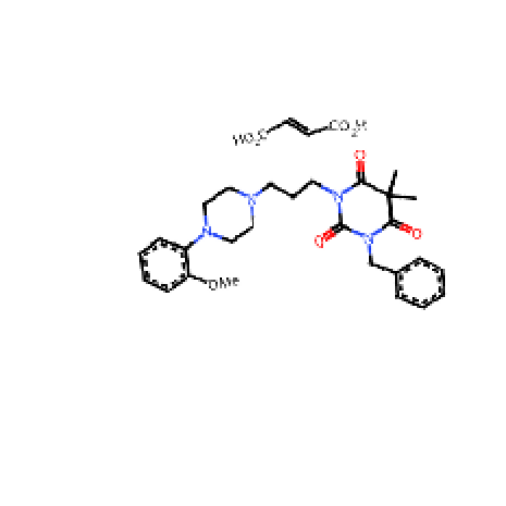 COc1ccccc1N1CCN(CCCN2C(=O)N(Cc3ccccc3)C(=O)C(C)(C)C2=O)CC1.O=C(O)C=CC(=O)O